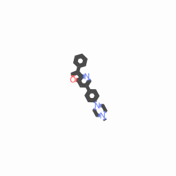 CN1CCN(c2ccc(-c3cnc4c(-c5ccccc5)coc4c3)cc2)CC1